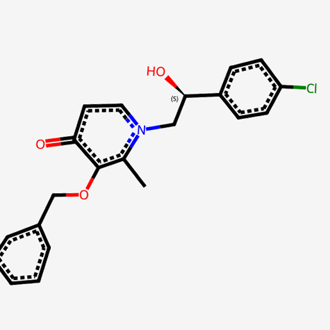 Cc1c(OCc2ccccc2)c(=O)ccn1C[C@@H](O)c1ccc(Cl)cc1